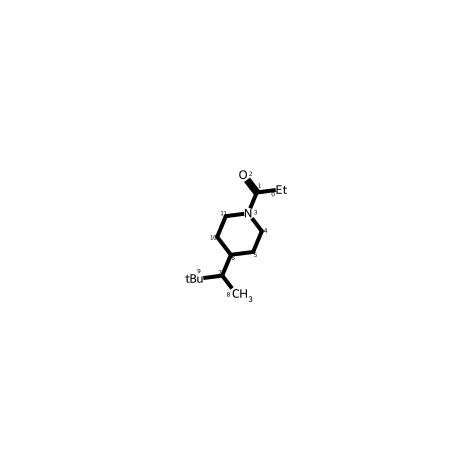 CCC(=O)N1CCC(C(C)C(C)(C)C)CC1